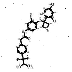 CC(O)C(F)(F)c1ccc(CC(=O)Nc2ccc(OC3(c4ncc(Cl)cc4Cl)COC3)c(F)c2)cc1